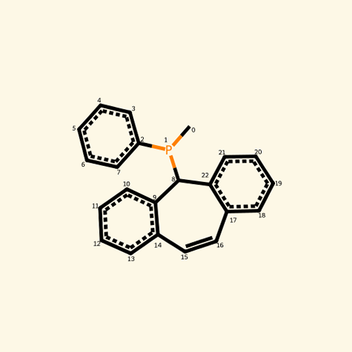 CP(c1ccccc1)C1c2ccccc2C=Cc2ccccc21